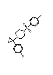 Cc1ccc(S(=O)(=O)N2CCN(C3(c4ccc(F)cc4)CC3)CC2)cc1